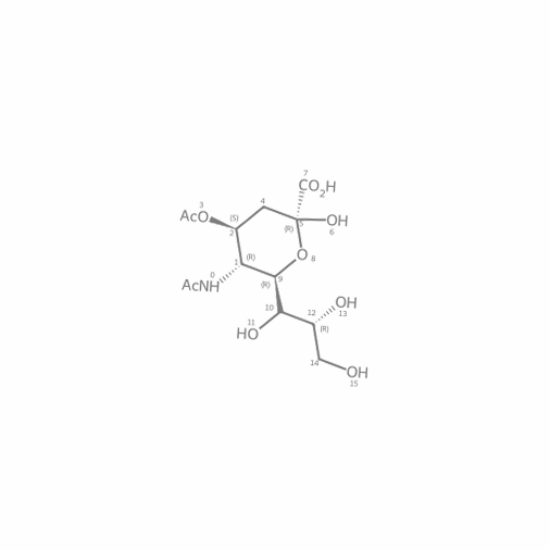 CC(=O)N[C@@H]1[C@@H](OC(C)=O)C[C@](O)(C(=O)O)O[C@H]1C(O)[C@H](O)CO